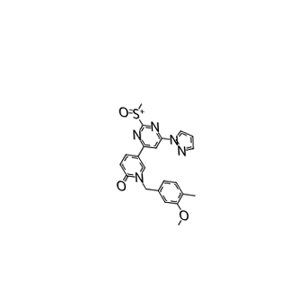 COc1cc(Cn2cc(-c3cc(-n4cccn4)nc([S+](C)[O-])n3)ccc2=O)ccc1C